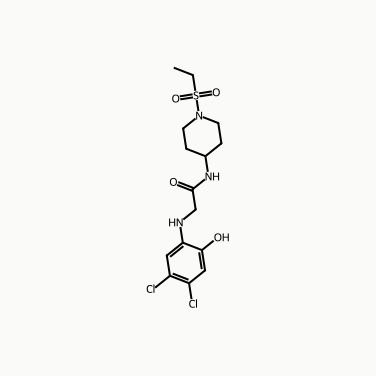 CCS(=O)(=O)N1CCC(NC(=O)CNc2cc(Cl)c(Cl)cc2O)CC1